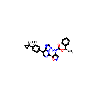 CC(OC(=O)Nc1cnoc1-c1ncc(-c2ccc(C3(C(=O)O)CC3)cc2)c2ncnn12)c1ccccc1